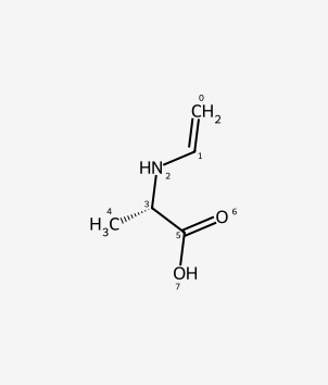 C=CN[C@@H](C)C(=O)O